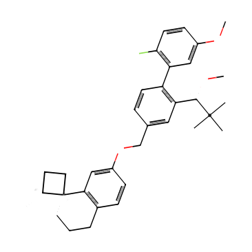 COc1ccc(F)c(-c2ccc(COc3ccc4c(c3)[C@]3(CCC4)CC[C@H]3C)cc2[C@H](OC)C(C)(C)C)c1